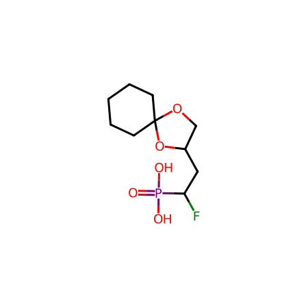 O=P(O)(O)C(F)CC1COC2(CCCCC2)O1